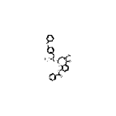 CC(C)N1CC[C@@H](CN(C)Cc2ccc(Oc3ccccc3)cc2)Oc2c(NC(=O)c3ccncc3)cccc2C1=O